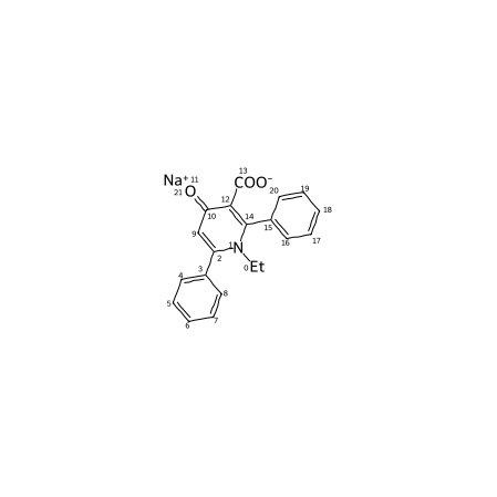 CCn1c(-c2ccccc2)cc(=O)c(C(=O)[O-])c1-c1ccccc1.[Na+]